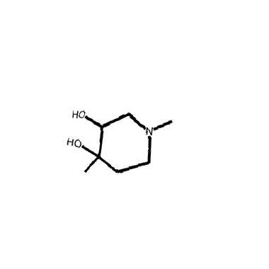 CN1CCC(C)(O)C(O)C1